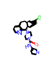 O=C(Nc1cccnc1)N1CCN([C@H]2c3ccc(Cl)cc3CCc3cccnc32)CC1